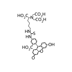 O=C(O)CN(CC(=O)O)C(CCCCNC(=S)Nc1ccc(-c2c3ccc(=O)cc-3oc3cc(O)ccc23)c(C(=O)O)c1)C(=O)O